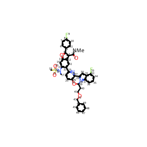 CNC(=O)c1c(-c2ccc(F)cc2)oc2cc(N(C)S(C)(=O)=O)c(-c3ccc4c(n3)-c3cc5c(F)cccc5n3C(CCOCc3ccccc3)O4)cc12